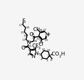 C[C@]1(C(=O)O)CC[C@H](n2ncc(C(=O)N(CCCCCF)CC(=O)c3c(Cl)cncc3Cl)c2C(F)(F)F)CC1